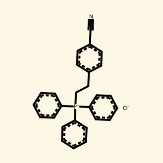 N#Cc1ccc(CC[P+](c2ccccc2)(c2ccccc2)c2ccccc2)cc1.[Cl-]